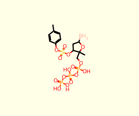 BC1CC(OS(=O)(=O)Oc2ccc(C)cc2)C(C)(COP(=O)(O)OP(=O)(O)OP(=O)(O)O)O1